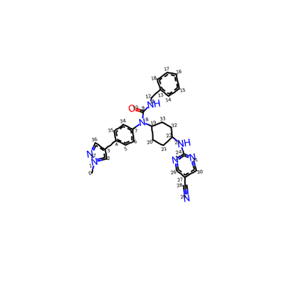 Cn1cc(-c2ccc(N(C(=O)NCc3ccccc3)C3CCC(Nc4ncc(C#N)cn4)CC3)cc2)cn1